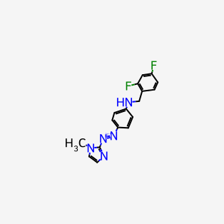 Cn1ccnc1/N=N/c1ccc(NCc2ccc(F)cc2F)cc1